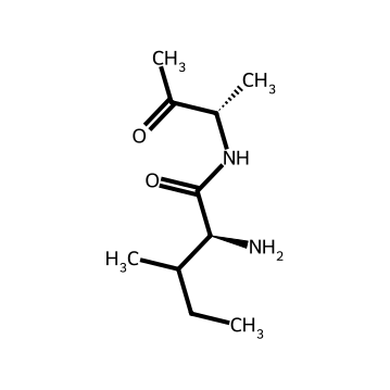 CCC(C)[C@H](N)C(=O)N[C@@H](C)C(C)=O